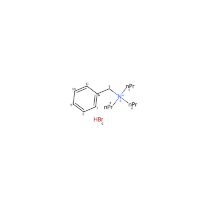 Br.CCC[N+](CCC)(CCC)Cc1ccccc1